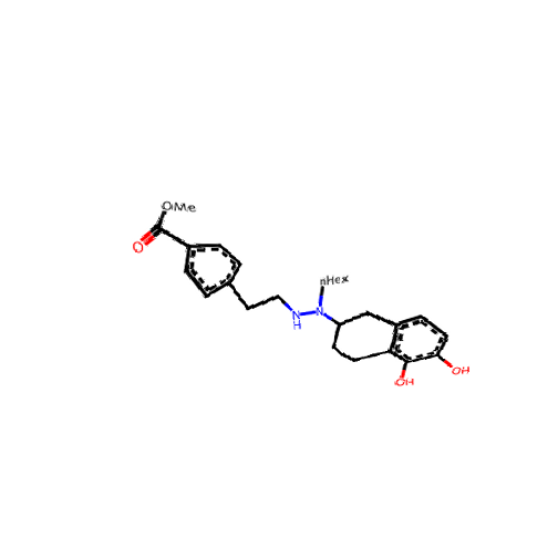 CCCCCCN(NCCc1ccc(C(=O)OC)cc1)C1CCc2c(ccc(O)c2O)C1